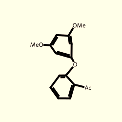 COc1cc(OC)cc(Oc2ccccc2C(C)=O)c1